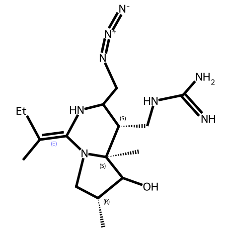 CC/C(C)=C1\NC(CN=[N+]=[N-])[C@H](CNC(=N)N)[C@@]2(C)C(O)[C@H](C)CN12